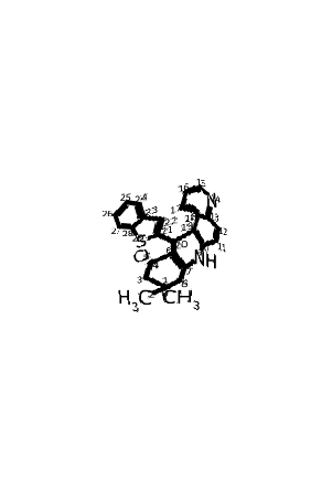 CC1(C)CC(=O)C2=C(C1)Nc1ccc3ncccc3c1C2c1cc2ccccc2s1